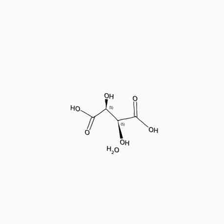 O.O=C(O)[C@@H](O)[C@H](O)C(=O)O